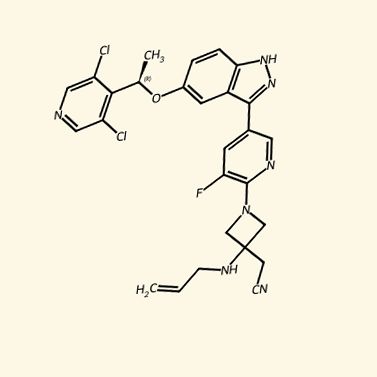 C=CCNC1(CC#N)CN(c2ncc(-c3n[nH]c4ccc(O[C@H](C)c5c(Cl)cncc5Cl)cc34)cc2F)C1